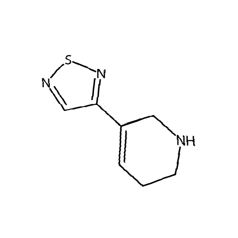 C1=C(c2cnsn2)CNCC1